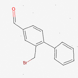 O=Cc1ccc(-c2ccccc2)c(CBr)c1